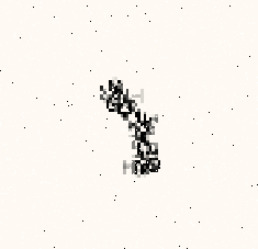 CC[C@H]1Oc2ccc(CN3CCN(c4ccc(C(=O)NC)nc4)CC3C)cc2NC1=O